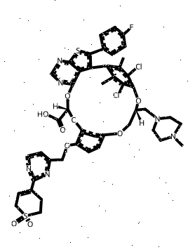 Cc1c(Cl)c2c(Cl)c(C)c1-c1c(-c3ccc(F)cc3)sc3ncnc(c13)O[C@@H](C(=O)O)Cc1cc(ccc1OCc1ccnc(C3=CCS(=O)(=O)CC3)n1)OC[C@@H](CN1CCN(C)CC1)O2